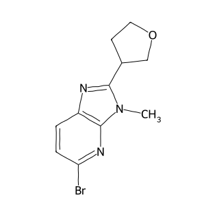 Cn1c(C2CCOC2)nc2ccc(Br)nc21